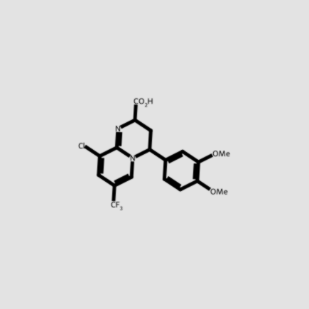 COc1ccc(C2CC(C(=O)O)N=C3C(Cl)=CC(C(F)(F)F)=CN32)cc1OC